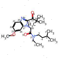 CCN(CCC(C)C)C(=O)Cn1c(C(=O)C(C)(C)C)nc2ccc(OC)cc21